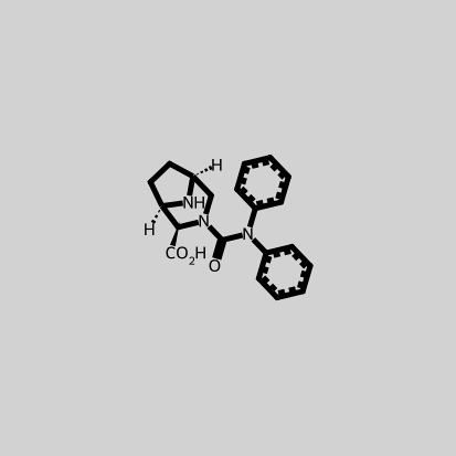 O=C(O)[C@H]1[C@H]2CC[C@@H](CN1C(=O)N(c1ccccc1)c1ccccc1)N2